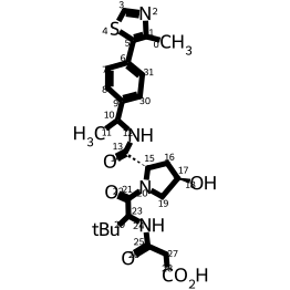 Cc1ncsc1-c1ccc(C(C)NC(=O)[C@@H]2C[C@@H](O)CN2C(=O)C(NC(=O)CC(=O)O)C(C)(C)C)cc1